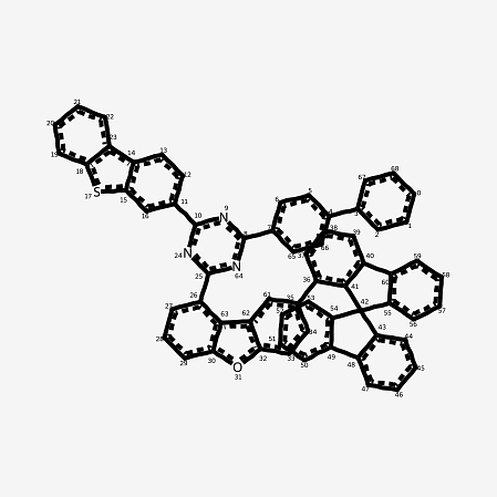 c1ccc(-c2ccc(-c3nc(-c4ccc5c(c4)sc4ccccc45)nc(-c4cccc5oc6ccc(-c7cccc8c7C7(c9ccccc9-c9ccccc97)c7ccccc7-8)cc6c45)n3)cc2)cc1